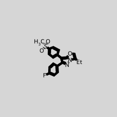 CCc1coc2c(-c3ccc(S(C)(=O)=O)cc3)c(-c3ccc(F)cc3)nn12